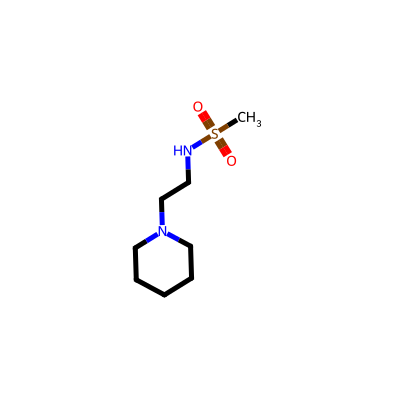 CS(=O)(=O)NCCN1CCCCC1